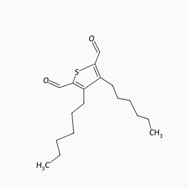 CCCCCCc1c(C=O)sc(C=O)c1CCCCCC